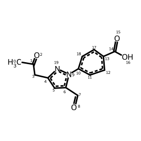 CC(=O)Cc1cc(C=O)n(-c2ccc(C(=O)O)cc2)n1